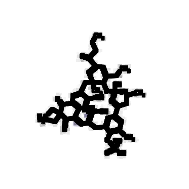 CCCC(=O)C1=CC(C)(Cc2cc3c(c(C)c2O)/C(=C\C(Cc2cc(C(=O)CCC)cc(C)c2OP(=O)(O)O)=C(/C)O)C(=O)C(CC)(CC)C3=O)C(OP(=O)(O)O)C(CC)=C1